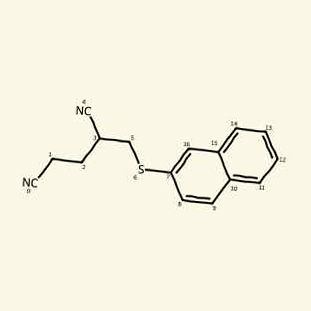 N#CCCC(C#N)CSc1ccc2ccccc2c1